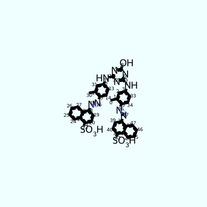 Cc1cc(Nc2nc(O)nc(Nc3ccc(/N=N/c4ccc(S(=O)(=O)O)c5ccccc45)c(C)c3)n2)ccc1/N=N/c1ccc(S(=O)(=O)O)c2ccccc12